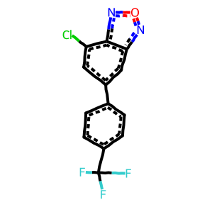 FC(F)(F)c1ccc(-c2cc(Cl)c3nonc3c2)cc1